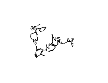 Cc1ccc(CN2CCC(S(C)(=O)=O)CC2)cc1-c1ccc2c(n1)N(C)SN2CC1CC1(F)F